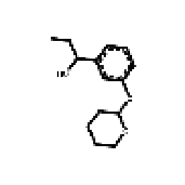 CCC(O)c1cccc(OC2CCCCO2)c1